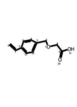 C=Cc1ccc(COCC(=O)O)cc1